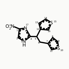 O=[N+]([O-])c1c[nH]c(C(Cc2ccsc2)c2ccsc2)n1